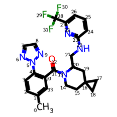 Cc1ccc(-n2nccn2)c(C(=O)N2CCC3(CC3)CC2CNc2cccc(C(F)(F)F)n2)c1